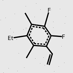 C=Cc1c(C)c(CC)c(C)c(F)c1F